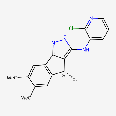 CC[C@@H]1c2cc(OC)c(OC)cc2-c2n[nH]c(Nc3cccnc3Cl)c21